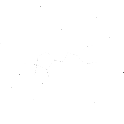 CCC(BSN1CCC(C)(C)C1=O)CC